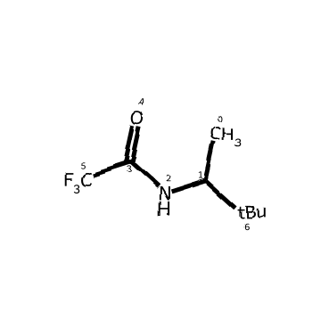 CC(NC(=O)C(F)(F)F)C(C)(C)C